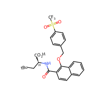 CC(C)(C)C[C@H](NC(=O)c1ccc2ccccc2c1OCc1ccc(S(=O)(=O)C(F)(F)F)cc1)C(=O)O